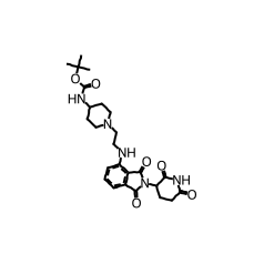 CC(C)(C)OC(=O)NC1CCN(CCNc2cccc3c2C(=O)N(C2CCC(=O)NC2=O)C3=O)CC1